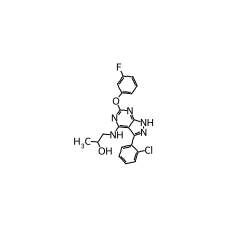 CC(O)CNc1nc(Oc2cccc(F)c2)nc2[nH]nc(-c3ccccc3Cl)c12